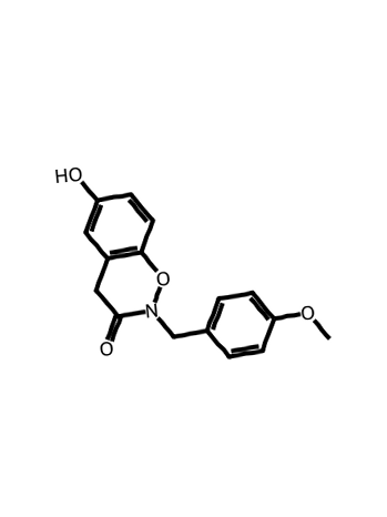 COc1ccc(CN2Oc3ccc(O)cc3CC2=O)cc1